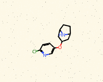 Clc1ccc(OC2CC3CCC(C2)N3)cn1